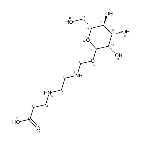 O=C(O)CCNCCNCOC1O[C@H](CO)[C@@H](O)[C@H](O)[C@@H]1O